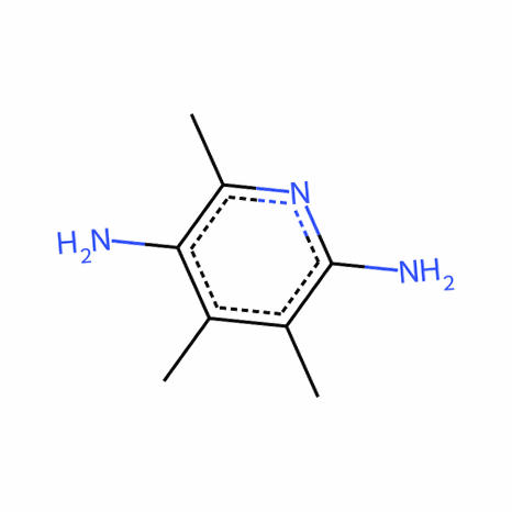 Cc1nc(N)c(C)c(C)c1N